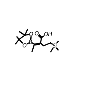 CC(B1OC(C)(C)C(C)(C)O1)=C(CC[Si](C)(C)C)C(=O)O